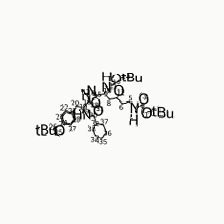 CC(C)(C)OC(=O)NCCCC[C@H](NC(=O)OC(C)(C)C)c1nnc([C@H](Cc2ccc(OC(C)(C)C)cc2)NC(=O)C2CCCCC2)o1